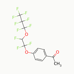 CC(=O)c1ccc(OC(F)(F)C(F)OC(F)(F)C(F)(F)C(F)(F)F)cc1